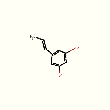 FC(F)(F)C=Cc1cc(Br)cc(Br)c1